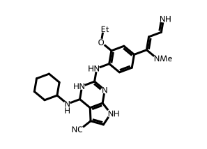 CCOc1cc(/C(=C/C=N)NC)ccc1NC1=Nc2[nH]cc(C#N)c2C(NC2CCCCC2)N1